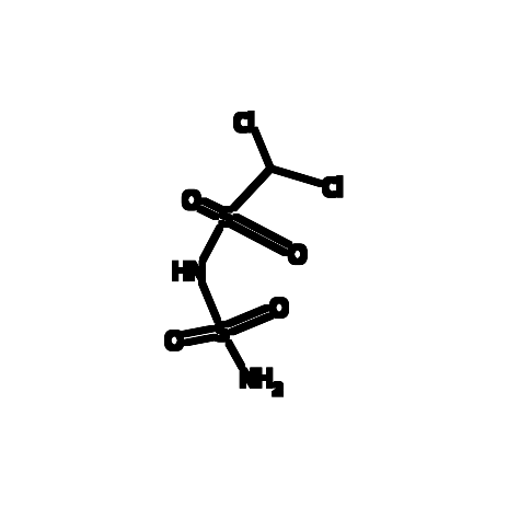 NS(=O)(=O)NS(=O)(=O)C(Cl)Cl